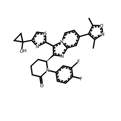 Cc1noc(C)c1-c1ccn2c(-c3nc(C4(O)CC4)cs3)c([C@@H]3CCCC(=O)N3c3ccc(F)c(F)c3)nc2c1